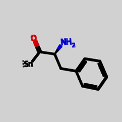 N[C@@H](Cc1ccccc1)[C](=O)[Sn]